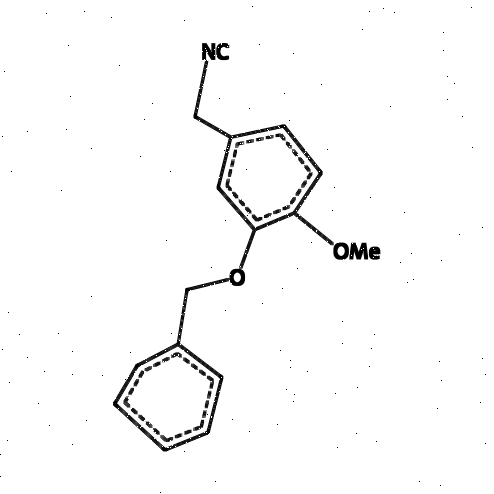 [C-]#[N+]Cc1ccc(OC)c(OCc2ccccc2)c1